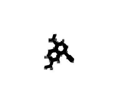 C#Cc1cnc(NC)c2cnc(SC)nc12